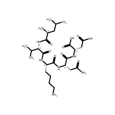 CC(C)C[C@H](N)C(=O)N[C@H](C(=O)N[C@@H](CCCCN)C(=O)N[C@@H](CC(N)=O)C(=O)N[C@@H](CC(=O)O)C(=O)O)C(C)C